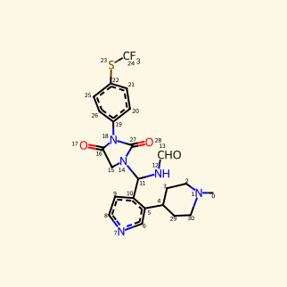 CN1CCC(c2cnccc2C(NC=O)N2CC(=O)N(c3ccc(SC(F)(F)F)cc3)C2=O)CC1